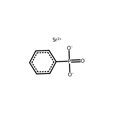 O=P([O-])([O-])c1ccccc1.[Sr+2]